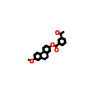 COc1ccc2c(c1)CCc1cc(OC(=O)c3cccc(C(C)=O)c3)ccc1-2